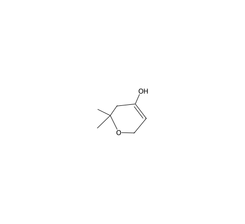 CC1(C)CC(O)=CCO1